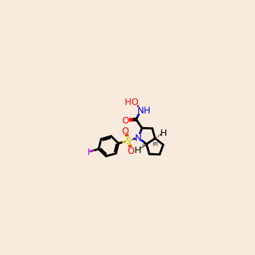 O=C(NO)C1C[C@H]2CCC[C@H]2N1S(=O)(=O)c1ccc(I)cc1